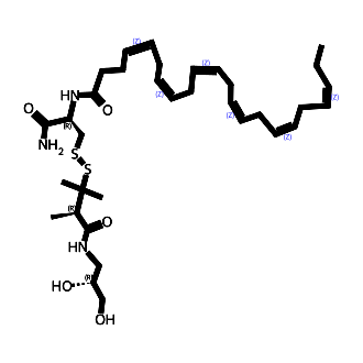 CC/C=C\C/C=C\C/C=C\C/C=C\C/C=C\C/C=C\CCC(=O)N[C@@H](CSSC(C)(C)[C@H](C)C(=O)NC[C@@H](O)CO)C(N)=O